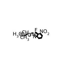 C[Si](C)(C)CCOCn1nc2cccc([N+](=O)[O-])c2c1F